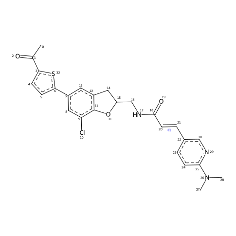 CC(=O)c1ccc(-c2cc(Cl)c3c(c2)CC(CNC(=O)/C=C/c2ccc(N(C)C)nc2)O3)s1